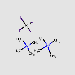 C[N+](C)(C)C.C[N+](C)(C)C.[I][Hg-2]([I])([I])[I]